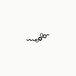 CCCCCCCOc1ccc(C2CCC(CC)CC2=O)cc1